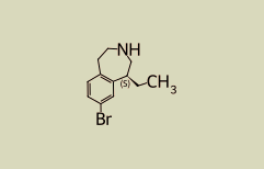 CC[C@@H]1CNCCc2ccc(Br)cc21